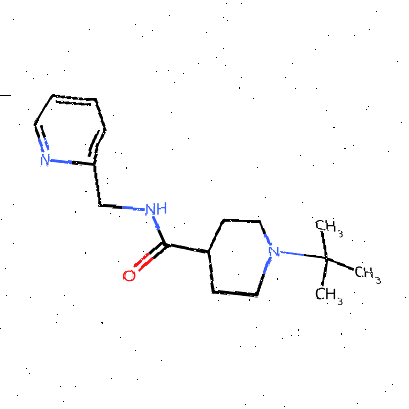 CC(C)(C)N1CCC(C(=O)NCc2ccccn2)CC1